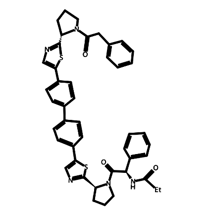 CCC(=O)N[C@@H](C(=O)N1CCC[C@H]1c1ncc(-c2ccc(-c3ccc(-c4cnc([C@@H]5CCCN5C(=O)Cc5ccccc5)s4)cc3)cc2)s1)c1ccccc1